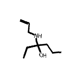 C=CCNC(O)(CC)CCC